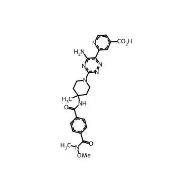 CON(C)C(=O)c1ccc(C(=O)NC2(C)CCN(c3nnc(-c4cc(C(=O)O)ccn4)c(N)n3)CC2)cc1